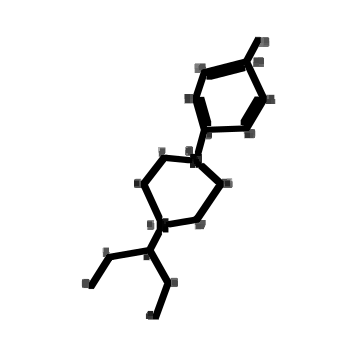 CCC(CC)N1CCN(c2ccc(C)cc2)CC1